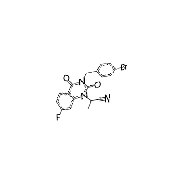 CC(C#N)n1c(=O)n(Cc2ccc(Br)cc2)c(=O)c2ccc(F)cc21